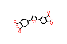 O=C1OC(=O)C2=C1C=CC(c1ccc(-c3ccc4c(c3)C(=O)OC4=O)o1)=CC2